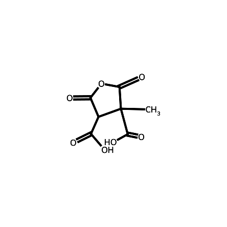 CC1(C(=O)O)C(=O)OC(=O)C1C(=O)O